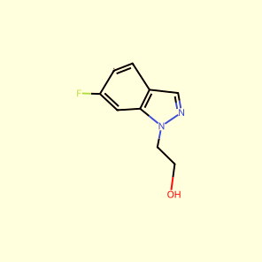 OCCn1ncc2c[c]c(F)cc21